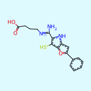 N/C(=N\CCCC(=O)O)c1[nH]c2cc(-c3ccccc3)oc2c1S